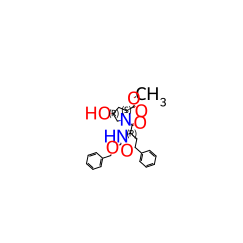 COC(=O)[C@@H]1C[C@@H](O)CN1C(=O)[C@@H](CCc1ccccc1)NC(=O)OCc1ccccc1